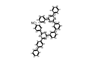 N#Cc1ccc(-c2nc(-c3ccc(-c4ccccc4)cc3)nc(-c3cccc(-c4cccc(-c5nc(-c6ccccc6)nc(-c6ccccc6)n5)c4)c3)n2)cc1